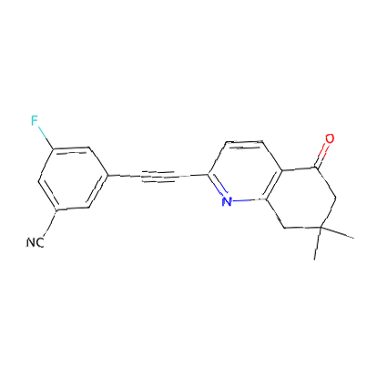 CC1(C)CC(=O)c2ccc(C#Cc3cc(F)cc(C#N)c3)nc2C1